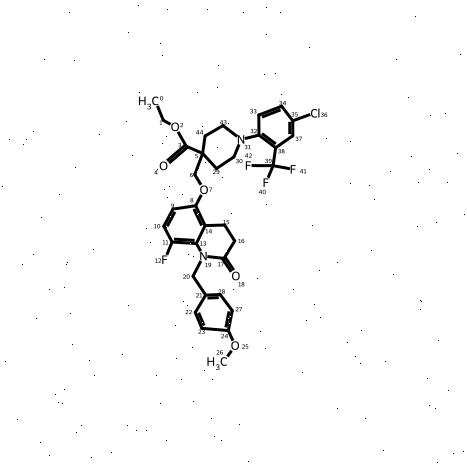 CCOC(=O)C1(COc2ccc(F)c3c2CCC(=O)N3Cc2ccc(OC)cc2)CCN(c2ccc(Cl)cc2C(F)(F)F)CC1